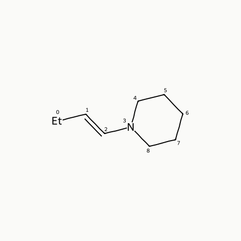 CCC=CN1CCCCC1